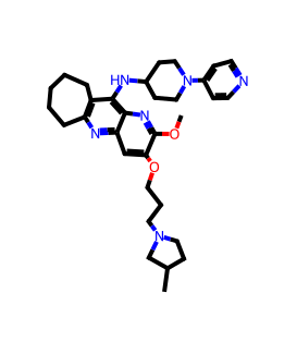 COc1nc2c(NC3CCN(c4ccncc4)CC3)c3c(nc2cc1OCCCN1CCC(C)C1)CCCCC3